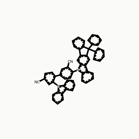 N#Cc1ccc(-c2ccc(-n3c4ccccc4c4cc5c(cc43)-c3ccccc3C5(c3ccccc3)c3ccccc3)c(C#N)c2)c(-n2c3ccccc3c3ccccc32)c1